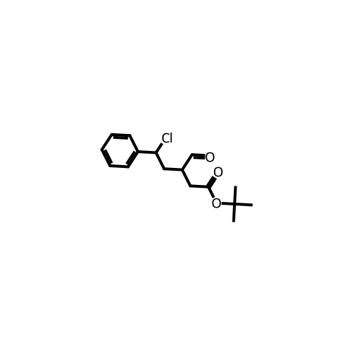 CC(C)(C)OC(=O)CC(C=O)CC(Cl)c1ccccc1